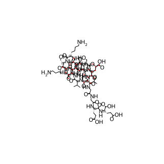 CC(C)C[C@H](NC(=O)[C@H](CCCCN)NC(=O)[C@H](CO)NC(=O)[C@H](CCCCN)NC(=O)[C@@H](N)CC(C)C)C(=O)NCC(=O)N[C@@H](CCC(=O)O)C(=O)N[C@@H](CC(C)C)C(=O)N[C@H](C(=O)N[C@H](C(=O)N[C@H](C(=O)N[C@@H](CO)C(=O)N[C@@H](CC(C)C)C(=O)N1CCC[C@H]1C(=O)NCC(=O)NCC(=O)N[C@@H](CCC(=O)O)C(=O)N[C@@H](CCC(=O)O)C(=O)O)C(C)C)[C@@H](C)O)C(C)C